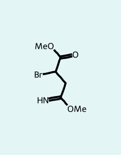 COC(=N)CC(Br)C(=O)OC